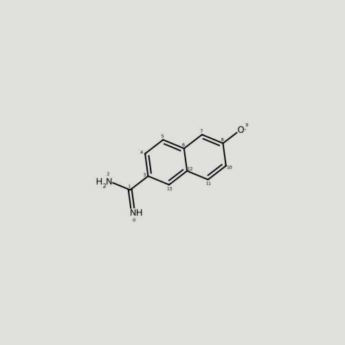 N=C(N)c1ccc2cc([O])ccc2c1